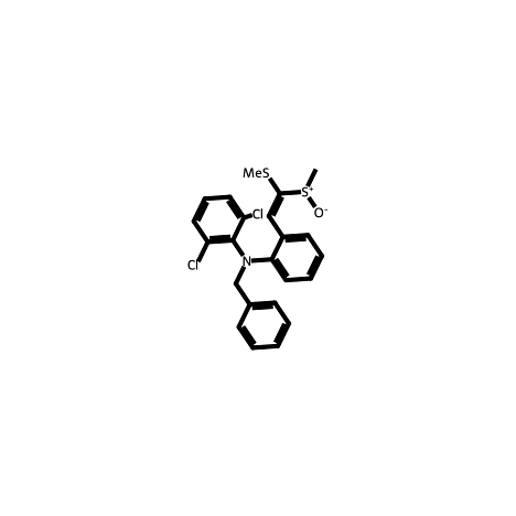 CSC(=Cc1ccccc1N(Cc1ccccc1)c1c(Cl)cccc1Cl)[S+](C)[O-]